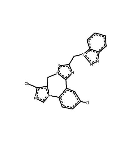 Clc1ccc2c(c1)-c1nc(Cn3nnc4ccccc43)nn1Cc1c(Cl)ncn1-2